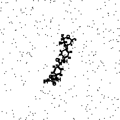 CC1CN(c2ccc(NC(=O)c3ccc(NS(=O)(=O)C(C)C)cc3)cc2)C(F)C(C)O1